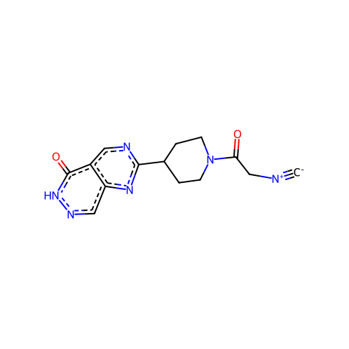 [C-]#[N+]CC(=O)N1CCC(c2ncc3c(=O)[nH]ncc3n2)CC1